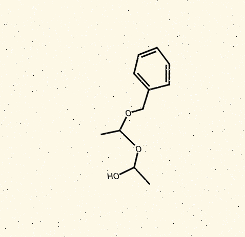 CC(O)OC(C)OCc1ccccc1